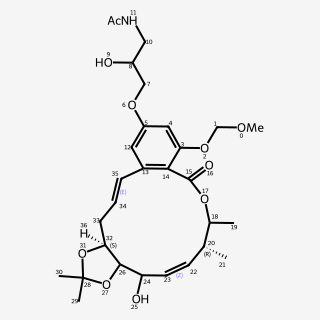 COCOc1cc(OCC(O)CNC(C)=O)cc2c1C(=O)OC(C)[C@H](C)/C=C\C(O)C1OC(C)(C)O[C@H]1C/C=C/2